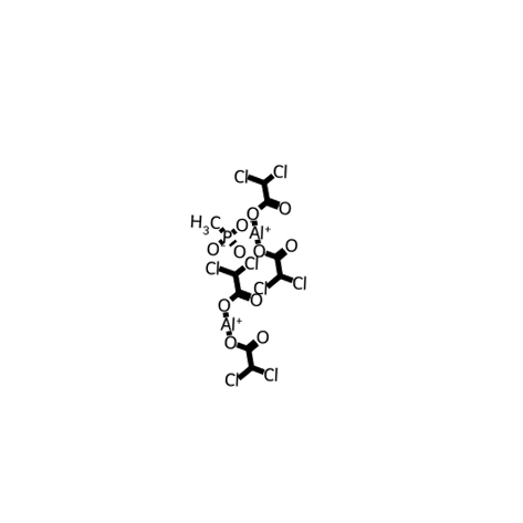 CP(=O)([O-])[O-].O=C([O][Al+][O]C(=O)C(Cl)Cl)C(Cl)Cl.O=C([O][Al+][O]C(=O)C(Cl)Cl)C(Cl)Cl